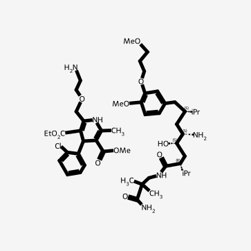 CCOC(=O)C1=C(COCCN)NC(C)=C(C(=O)OC)C1c1ccccc1Cl.COCCCOc1cc(C[C@@H](C[C@H](N)[C@@H](O)C[C@@H](C(=O)NCC(C)(C)C(N)=O)C(C)C)C(C)C)ccc1OC